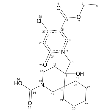 CCOC(=O)c1cn(CC2(O)CCN(C(=O)O)CC23CCCCC3)c(=O)cc1Cl